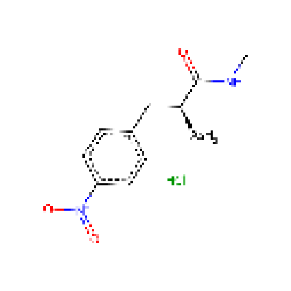 CNC(=O)[C@@H]([AsH2])Cc1ccc([N+](=O)[O-])cc1.Cl